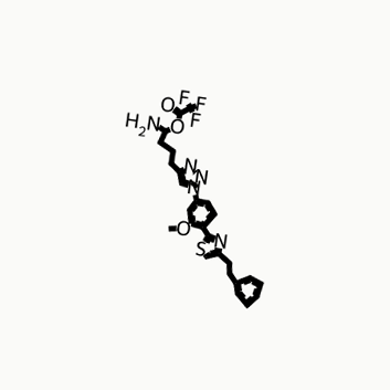 COc1cc(-n2cc(CCCC(N)OC(=O)C(F)(F)F)nn2)ccc1-c1nc(CCc2ccccc2)cs1